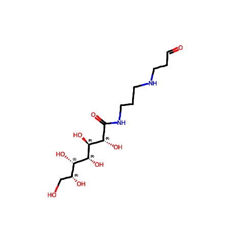 O=CCCNCCCNC(=O)[C@H](O)[C@H](O)[C@H](O)[C@@H](O)[C@H](O)CO